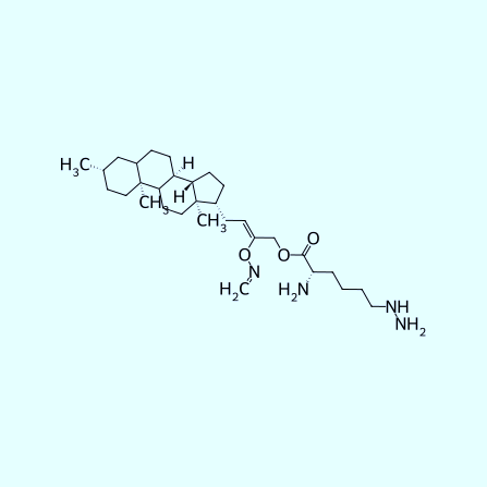 C=NO/C(=C\C[C@H]1CC[C@H]2[C@@H]3CCC4C[C@@H](C)CC[C@]4(C)C3CC[C@]12C)COC(=O)[C@@H](N)CCCCNN